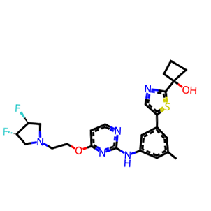 Cc1cc(Nc2nccc(OCCN3C[C@H](F)[C@@H](F)C3)n2)cc(-c2cnc(C3(O)CCC3)s2)c1